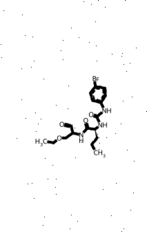 CCC[C@H](NC(=O)Nc1ccc(Br)cc1)C(=O)NC(C=O)COCC